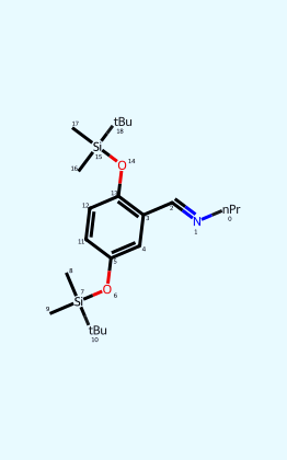 CCCN=Cc1cc(O[Si](C)(C)C(C)(C)C)ccc1O[Si](C)(C)C(C)(C)C